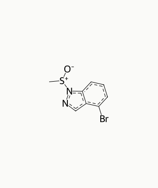 C[S+]([O-])n1ncc2c(Br)cccc21